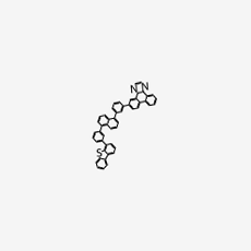 c1cc(-c2ccc3c4ccccc4c4nccnc4c3c2)cc(-c2cccc3c(-c4cccc(-c5cccc6c5sc5ccccc56)c4)cccc23)c1